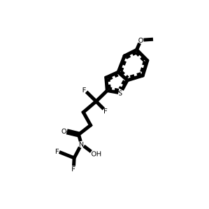 COc1ccc2sc(C(F)(F)CCC(=O)N(O)C(F)F)cc2c1